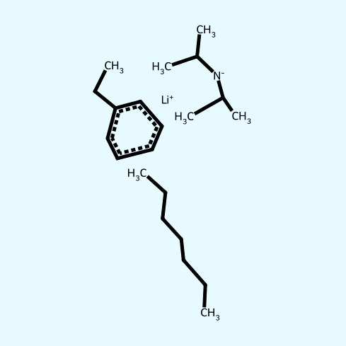 CC(C)[N-]C(C)C.CCCCCCC.CCc1ccccc1.[Li+]